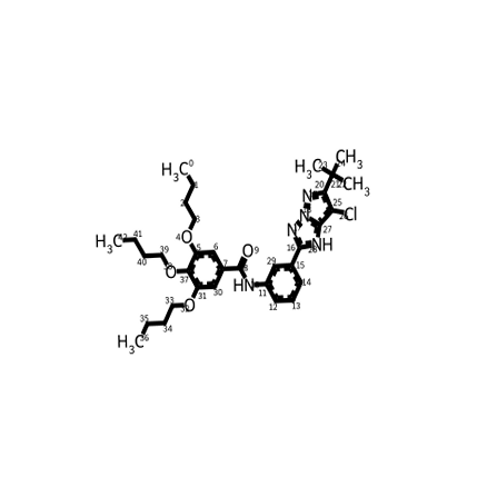 CCCCOc1cc(C(=O)Nc2cccc(-c3nn4nc(C(C)(C)C)c(Cl)c4[nH]3)c2)cc(OCCCC)c1OCCCC